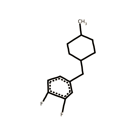 CC1CCC(Cc2ccc(F)c(F)c2)CC1